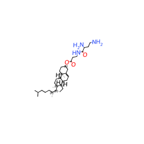 CC(C)CCC[C@@H](C)[C@H]1CC[C@H]2[C@@H]3CC=C4C[C@@H](OC(=O)CCNC(=O)C(N)CCN)CC[C@]4(C)[C@H]3CC[C@]12C